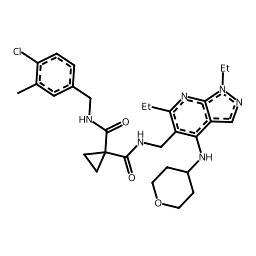 CCc1nc2c(cnn2CC)c(NC2CCOCC2)c1CNC(=O)C1(C(=O)NCc2ccc(Cl)c(C)c2)CC1